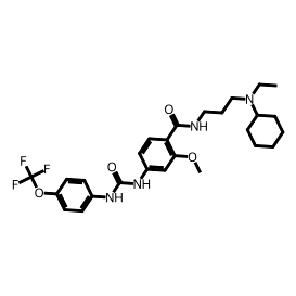 CCN(CCCNC(=O)c1ccc(NC(=O)Nc2ccc(OC(F)(F)F)cc2)cc1OC)C1CCCCC1